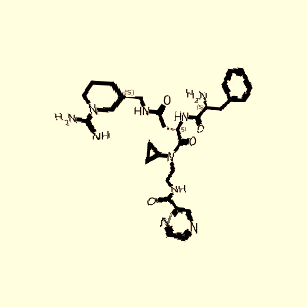 N=C(N)N1CCC[C@@H](CNC(=O)C[C@H](NC(=O)[C@@H](N)Cc2ccccc2)C(=O)N(CCNC(=O)c2cnccn2)C2CC2)C1